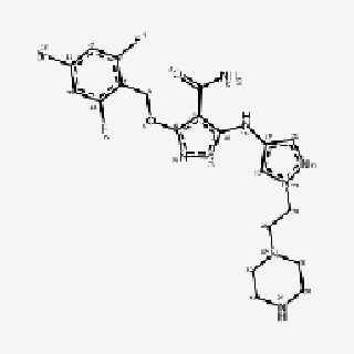 NC(=O)c1c(OCc2c(F)cc(Br)cc2F)nsc1Nc1cnn(CCN2CCNCC2)c1